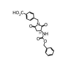 O=C(N[C@H]1CC(=O)N(Cc2ccc(C(=O)O)cc2)C1=O)OCc1ccccc1